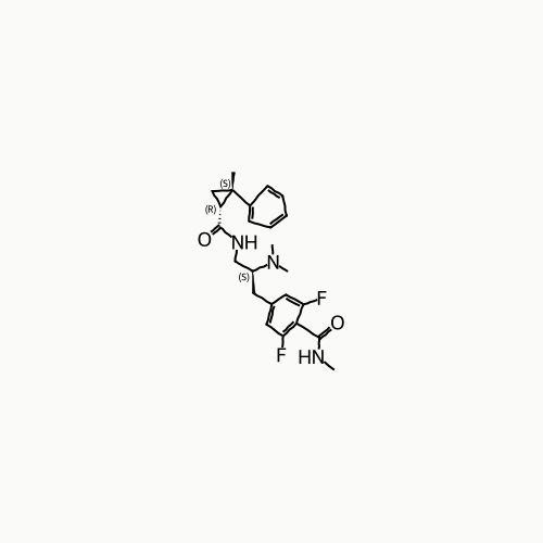 CNC(=O)c1c(F)cc(C[C@@H](CNC(=O)[C@@H]2C[C@]2(C)c2ccccc2)N(C)C)cc1F